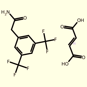 NC(=O)Cc1cc(C(F)(F)F)cc(C(F)(F)F)c1.O=C(O)/C=C/C(=O)O